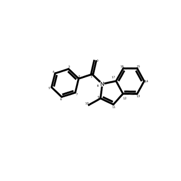 C=C(c1ccccc1)n1c(C)cc2ccccc21